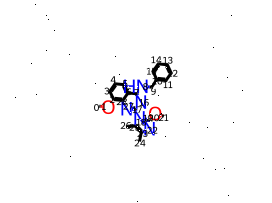 COc1cccc2c(NCc3ccccc3)nc(-n3c(OC)nc(C)c3C)nc12